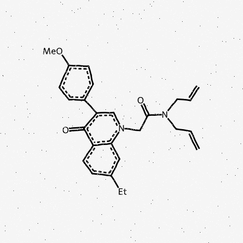 C=CCN(CC=C)C(=O)Cn1cc(-c2ccc(OC)cc2)c(=O)c2ccc(CC)cc21